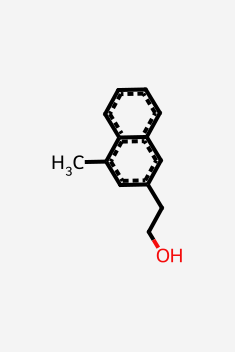 Cc1cc(CCO)cc2ccccc12